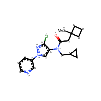 CSC1(CC(=O)N(CC2CC2)c2cn(-c3cccnc3)nc2Cl)CCC1